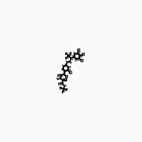 C[C@@H](NC(=O)c1ccc(/C=C/C(c2cc(Cl)c(Cl)c(Cl)c2)C(F)(F)F)cc1Cl)C(=O)NCC(F)(F)F